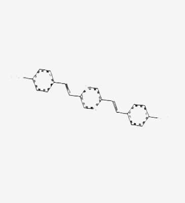 CC(=O)Nc1ccc(C=Cc2cnc(C=Cc3ccc(NC(C)=O)cc3)cn2)cc1